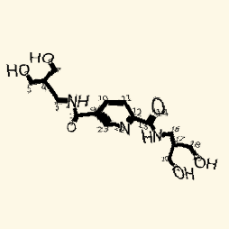 O=C(NCC(CO)CO)c1ccc(C(=O)NCC(CO)CO)nc1